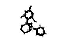 Cc1cc(C)c(C23CCCC(C2)N(c2ccccc2)C3)c(C)c1